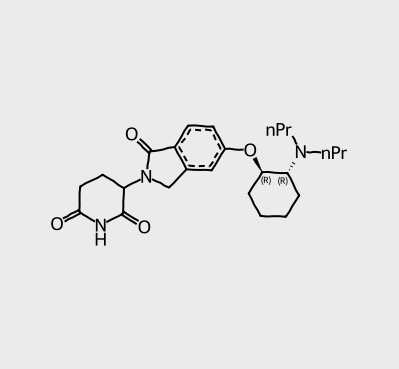 CCCN(CCC)[C@@H]1CCCC[C@H]1Oc1ccc2c(c1)CN(C1CCC(=O)NC1=O)C2=O